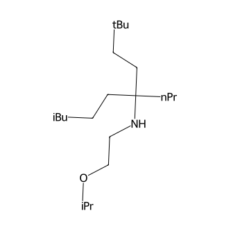 CCCC(CCC(C)CC)(CCC(C)(C)C)NCCOC(C)C